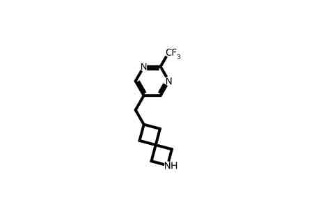 FC(F)(F)c1ncc(CC2CC3(CNC3)C2)cn1